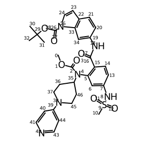 COC(=O)N(c1cc(NS(C)(=O)=O)ccc1C(=O)Nc1ccc2ccn(C(=O)OC(C)(C)C)c2c1)C1CCN(c2ccncc2)CC1